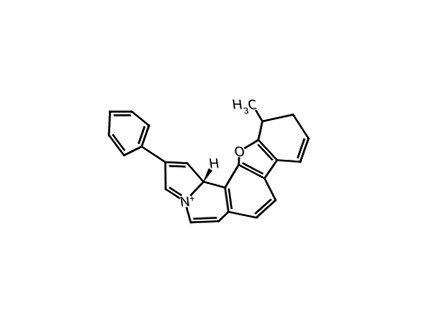 CC1CC=Cc2c1oc1c3c(ccc21)C=C[N+]1=CC(c2ccccc2)=C[C@H]31